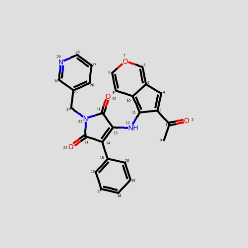 CC(=O)c1cc2coccc-2c1NC1=C(c2ccccc2)C(=O)N(Cc2cccnc2)C1=O